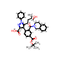 CCCCc1c(-c2ccc(C(=O)OC(C)(C)C)cc2C(=O)N2Cc3ccccc3C[C@H]2CO)c(C(=O)O)nn1-c1ccccc1